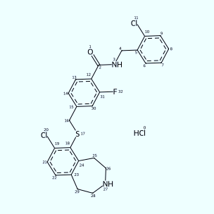 Cl.O=C(NCc1ccccc1Cl)c1ccc(CSc2c(Cl)ccc3c2CCNCC3)cc1F